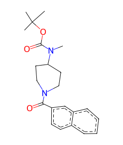 CN(C(=O)OC(C)(C)C)C1CCN(C(=O)c2ccc3ccccc3c2)CC1